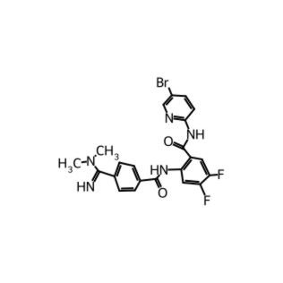 CN(C)C(=N)c1ccc(C(=O)Nc2cc(F)c(F)cc2C(=O)Nc2ccc(Br)cn2)cc1